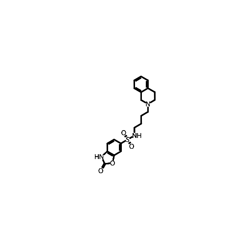 O=c1[nH]c2ccc(S(=O)(=O)NCCCCN3CCc4ccccc4C3)cc2o1